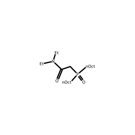 CCCCCCCCP(=O)(CCCCCCCC)CC(=O)N(CC)CC